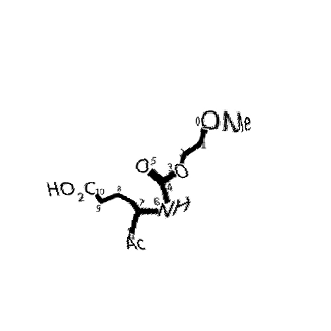 COCCOC(=O)NC(CCC(=O)O)C(C)=O